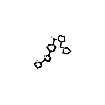 O=C(c1ccc(-c2ccc(-c3cnco3)s2)cc1)N1CCCC1CN1CCCC1